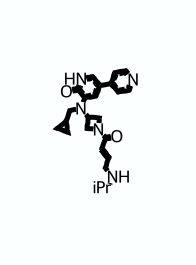 CC(C)NC/C=C/C(=O)N1CC(N(CC2CC2)c2cc(-c3ccncc3)c[nH]c2=O)C1